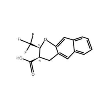 O=C(O)[C@@H]1Cc2cc3ccccc3cc2O[C@@H]1C(F)(F)F